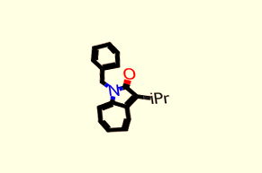 CC(C)c1c2cccccc-2n(Cc2ccccc2)c1=O